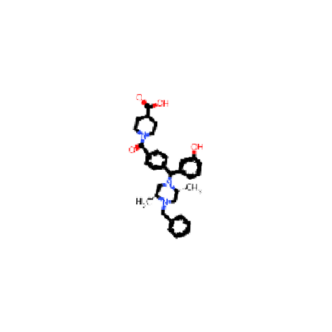 C[C@@H]1CN(C(c2ccc(C(=O)N3CCC(C(=O)O)CC3)cc2)c2cccc(O)c2)[C@H](C)CN1Cc1ccccc1